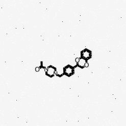 CC(=O)N1CCN(Cc2ccc(C3COc4ccccc4O3)cc2)CC1